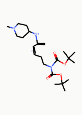 C=C(/C=C\CCN(C(=O)OC(C)(C)C)C(=O)OC(C)(C)C)NC1CCN(C)CC1